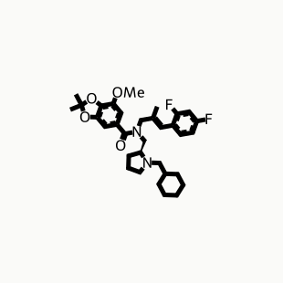 COc1cc(C(=O)N(CC(C)=Cc2ccc(F)cc2F)C[C@@H]2CCCN2CC2CCCCC2)cc2c1OC(C)(C)O2